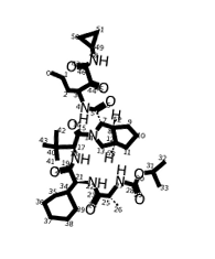 CCCC(NC(=O)[C@@H]1[C@H]2CCC[C@H]2CN1C(=O)[C@@H](NC(=O)[C@@H](NC(=O)[C@@H](C)NC(=O)OC(C)C)C1CCCCC1)C(C)(C)C)C(=O)C(=O)NC1CC1